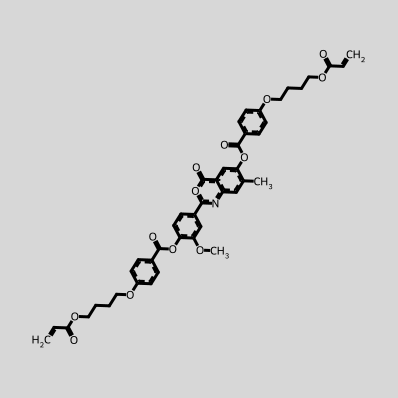 C=CC(=O)OCCCCOc1ccc(C(=O)Oc2cc3c(=O)oc(-c4ccc(OC(=O)c5ccc(OCCCCOC(=O)C=C)cc5)c(OC)c4)nc3cc2C)cc1